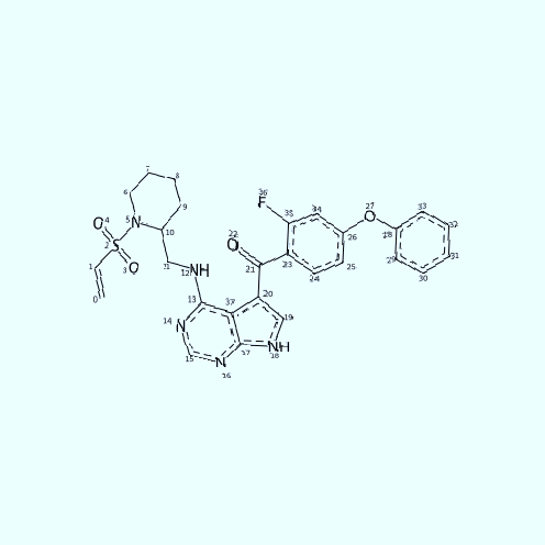 C=CS(=O)(=O)N1CCCCC1CNc1ncnc2[nH]cc(C(=O)c3ccc(Oc4ccccc4)cc3F)c12